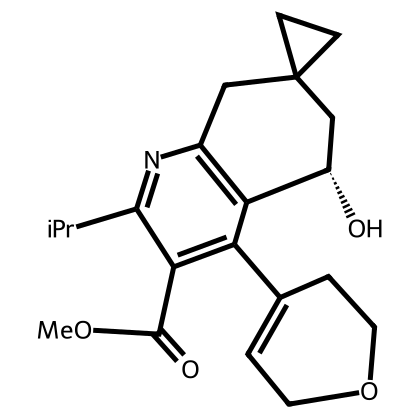 COC(=O)c1c(C(C)C)nc2c(c1C1=CCOCC1)[C@@H](O)CC1(CC1)C2